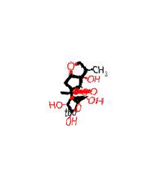 C[C@@H]1COC2CC34C5OC(=O)[C@]3(OC3O[C@H](O)[C@H](O)C34[C@H](C(C)(C)C)[C@H]5O)[C@]21O